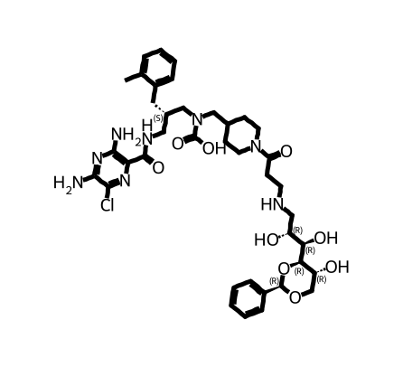 Cc1ccccc1C[C@@H](CNC(=O)c1nc(Cl)c(N)nc1N)CN(CC1CCN(C(=O)CCNC[C@@H](O)[C@@H](O)[C@@H]2O[C@H](c3ccccc3)OC[C@H]2O)CC1)C(=O)O